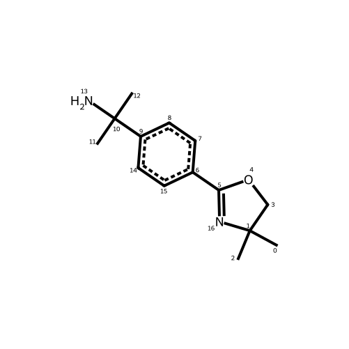 CC1(C)COC(c2ccc(C(C)(C)N)cc2)=N1